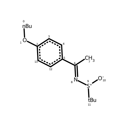 CCCCOc1ccc(/C(C)=N/[S+]([O-])C(C)(C)C)cc1